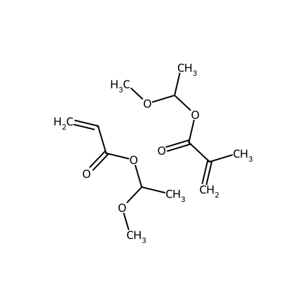 C=C(C)C(=O)OC(C)OC.C=CC(=O)OC(C)OC